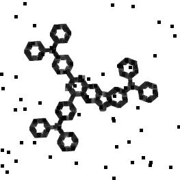 c1ccc(N(c2ccccc2)c2ccc(-c3nc(-c4ccc(N(c5ccccc5)c5ccccc5)cc4)c4cc5oc6ccc(N(c7ccccc7)c7ccccc7)cc6c5cc4n3)cc2)cc1